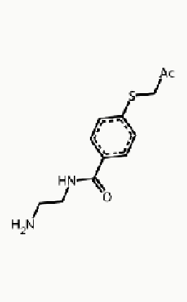 CC(=O)CSc1ccc(C(=O)NCCN)cc1